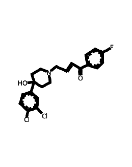 O=C(C=CCN1CCC(O)(c2ccc(Cl)c(Cl)c2)CC1)c1ccc(F)cc1